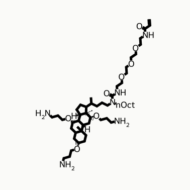 C=CC(=O)NCCOCCOCCOCCNC(=O)N(CCCCCCCC)CCCC(C)C1CC[C@H]2C3[C@H](OCCCN)CC4C[C@H](OCCCN)CCC4(C)[C@H]3C[C@H](OCCCN)[C@]12C